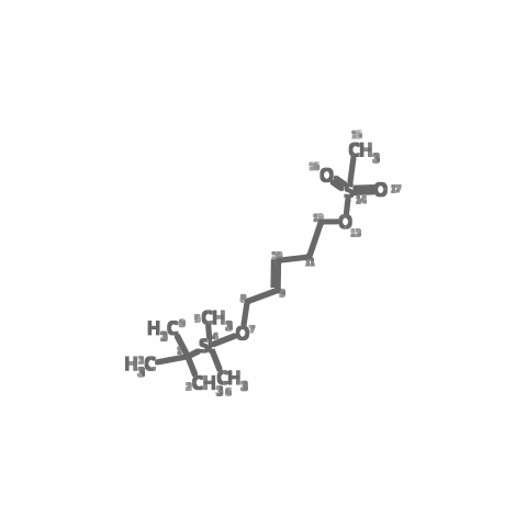 CC(C)(C)[Si](C)(C)OCC=CCCOS(C)(=O)=O